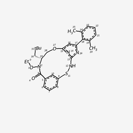 CCON1C(=O)c2cccc(c2)SNc2nc(cc(-c3c(C)cccc3C)n2)OC[C@H]1CC(C)(C)C